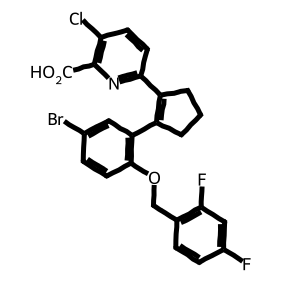 O=C(O)c1nc(C2=C(c3cc(Br)ccc3OCc3ccc(F)cc3F)CCC2)ccc1Cl